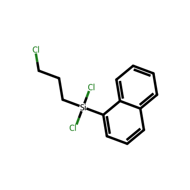 ClCCC[Si](Cl)(Cl)c1cccc2ccccc12